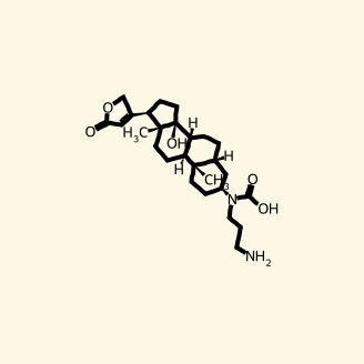 C[C@]12CC[C@H](N(CCCN)C(=O)O)C[C@H]1CC[C@@H]1[C@@H]2CC[C@]2(C)[C@@H](C3=CC(=O)OC3)CC[C@]12O